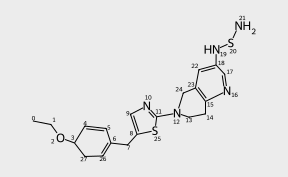 CCOC1C=CC(Cc2cnc(N3CCc4ncc(NSN)cc4C3)s2)=CC1